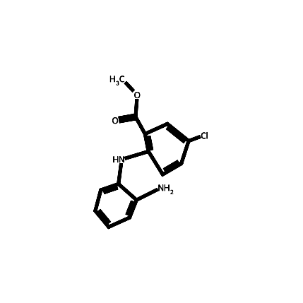 COC(=O)c1cc(Cl)ccc1Nc1ccccc1N